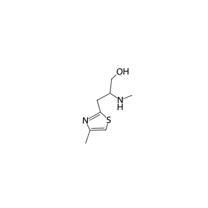 CNC(CO)Cc1nc(C)cs1